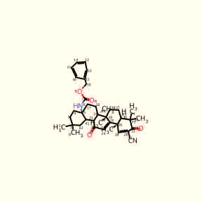 CC1(C)CC[C@]2(NC(=O)OCc3ccccc3)CC[C@]3(C)C(C(=O)C=C4[C@@]5(C)C=C(C#N)C(=O)C(C)(C)[C@@H]5CC[C@]43C)C2C1